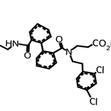 C=CCNC(=O)c1ccccc1-c1ccccc1C(=O)N(CCC(=O)O)CCc1ccc(Cl)cc1Cl